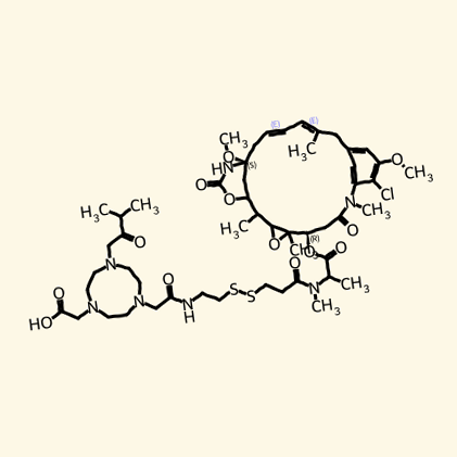 COc1cc2cc(c1Cl)N(C)C(=O)C[C@@H](OC(=O)C(C)N(C)C(=O)CCSSCCNC(=O)CN1CCN(CC(=O)O)CCN(CC(=O)C(C)C)CC1)C1(C)OC1C(C)C1C[C@@](OC)(C/C=C/C=C(\C)C2)NC(=O)O1